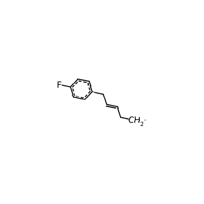 [CH2]CC=CCc1ccc(F)cc1